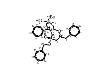 CC(C)(C)[Si](C)(C)OCON(Cc1ccccc1)CP(=O)(OCc1ccccc1)OCc1ccccc1